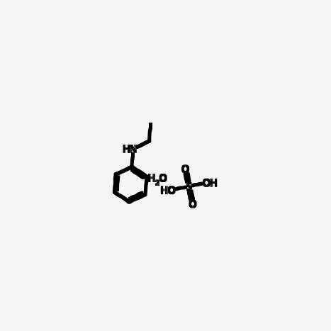 CCNc1ccccc1.O.O=S(=O)(O)O